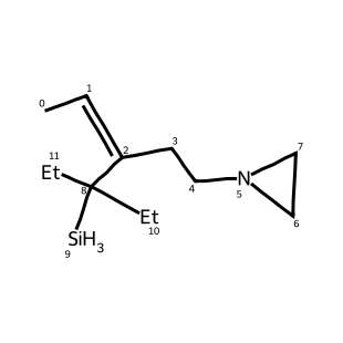 CC=C(CCN1CC1)C([SiH3])(CC)CC